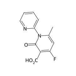 Cc1cc(F)c(C(=O)O)c(=O)n1-c1ccccn1